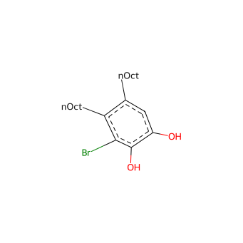 CCCCCCCCc1cc(O)c(O)c(Br)c1CCCCCCCC